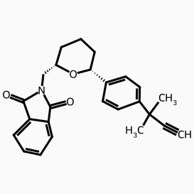 C#CC(C)(C)c1ccc([C@H]2CCC[C@@H](CN3C(=O)c4ccccc4C3=O)O2)cc1